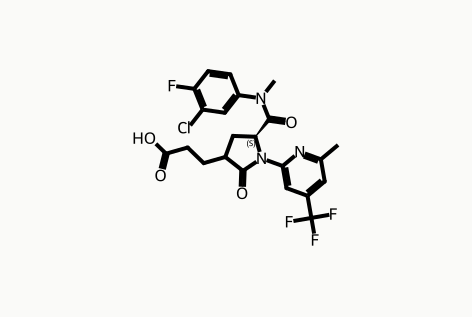 Cc1cc(C(F)(F)F)cc(N2C(=O)C(CCC(=O)O)C[C@H]2C(=O)N(C)c2ccc(F)c(Cl)c2)n1